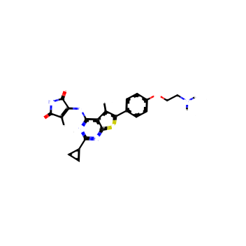 CC1=C(Nc2nc(C3CC3)nc3sc(-c4ccc(OCCN(C)C)cc4)c(C)c23)C(=O)NC1=O